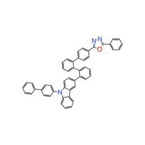 c1ccc(-c2ccc(-n3c4ccccc4c4cc(-c5ccccc5-c5ccccc5-c5ccc(-c6nnc(-c7ccccc7)o6)cc5)ccc43)cc2)cc1